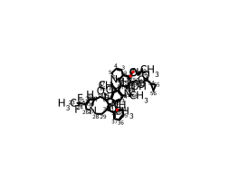 CC[C@]12C=CCN3CC[C@@]4(c5cc([C@@]6(C(=O)OC)C[C@@H]7C=C(C(C)(F)F)CN(CCc8c6[nH]c6ccccc86)C7)c(OC)cc5N(C)[C@H]4C(O)(COC(=O)C4CC4)[C@@H]1OC(C)=O)[C@@H]32